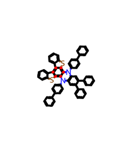 c1ccc(-c2ccc(N(c3cc(-c4ccccc4)c(-c4ccccc4)cc3N(c3ccc(-c4ccccc4)cc3)c3cccc4c3sc3ccccc34)c3cccc4c3sc3ccccc34)cc2)cc1